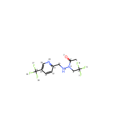 CC(=O)N(CC(F)(F)F)NCc1ccc(C(F)(F)F)cn1